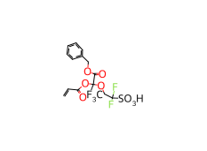 C=CC(=O)OC(OCC(F)(F)S(=O)(=O)O)(C(=O)OCc1ccccc1)C(F)(F)F